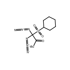 CC(C)(C)C(=O)C(N=[N+]=[N-])(N=[N+]=[N-])S(=O)(=O)C1CCCCC1